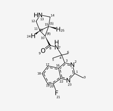 Cc1nc(C(C)(C)NC(=O)[C@H]2[C@@H]3CNC[C@@H]32)c2cccc(F)c2n1